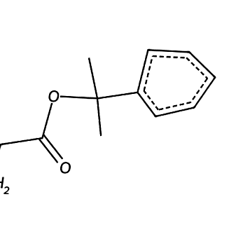 CC(C)(OC(=O)CN)c1ccccc1